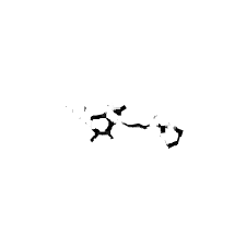 Cc1nc(N)c2nc(C)n(CCC[S+]([O-])c3ncccn3)c2c1C